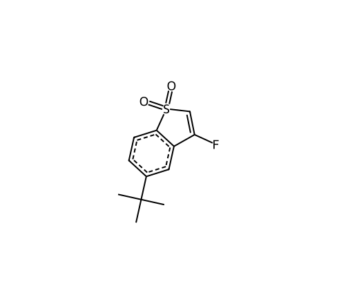 CC(C)(C)c1ccc2c(c1)C(F)=CS2(=O)=O